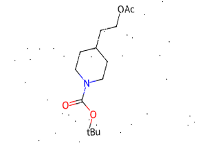 CC(=O)OCCC1CCN(C(=O)OC(C)(C)C)CC1